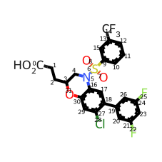 O=C(O)CCC1CN(S(=O)(=O)c2cccc(C(F)(F)F)c2)c2cc(-c3cc(F)cc(F)c3)c(Cl)cc2O1